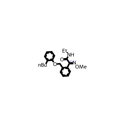 CCCCc1ccccc1OCc1ccccc1/C(=N\OC)C(=O)NCC